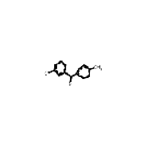 Cc1ccc(C(=S)c2cccc(Cl)c2)cc1